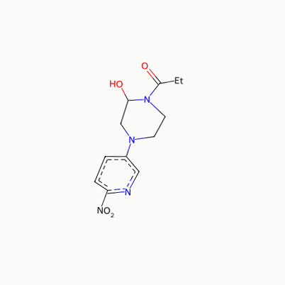 CCC(=O)N1CCN(c2ccc([N+](=O)[O-])nc2)CC1O